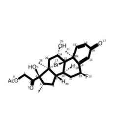 CC(=O)OCC(=O)[C@@]1(O)[C@@H](C)C[C@H]2[C@@H]3C[C@H](F)C4=CC(=O)C=C[C@]4(C)[C@@]3(Br)[C@@H](O)C[C@@]21C